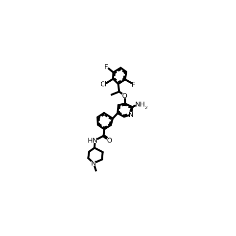 CC(Oc1cc(-c2cccc(C(=O)NC3CCN(C)CC3)c2)cnc1N)c1c(F)ccc(F)c1Cl